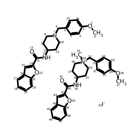 COc1ccc(CN2CCC(NC(=O)c3cc4ccccc4o3)CC2)cc1.COc1ccc(C[N+]2(C)CCC(NC(=O)c3cc4ccccc4o3)CC2)cc1.[I-]